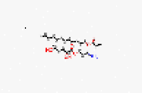 C=CC(=O)OCCCCCCCCCCCC.NCCCOC(=O)C(O)=CCCO